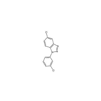 Clc1cccc(-n2nnc3cc(Cl)ccc32)c1